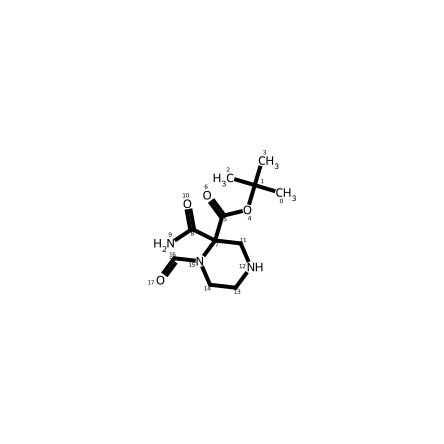 CC(C)(C)OC(=O)C1(C(N)=O)CNCCN1[C]=O